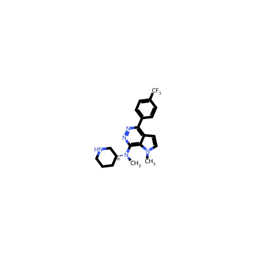 CN(c1nnc(-c2ccc(C(F)(F)F)cc2)c2ccn(C)c12)[C@@H]1CCCNC1